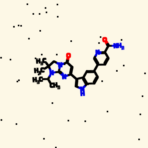 CC(C)N1c2nc(-c3c[nH]c4ccc(-c5ccc(C(N)=O)nc5)cc34)cc(=O)n2CC1(C)C